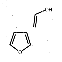 C=CO.c1ccoc1